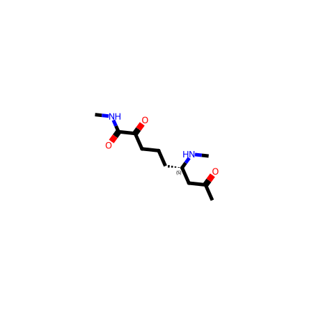 CNC(=O)C(=O)CCC[C@@H](CC(C)=O)NC